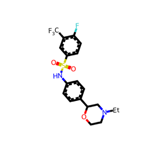 CCN1CCOC(c2ccc(NS(=O)(=O)c3ccc(F)c(C(F)(F)F)c3)cc2)C1